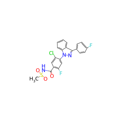 CS(=O)(=O)NC(=O)c1cc(Cl)c(-n2nc(-c3ccc(F)cc3)c3ccccc32)cc1F